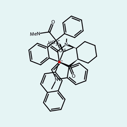 CNC(=O)C(O)(c1ccccc1)c1ccccc1[N+](C(=O)[C@@H]1CCCC[C@@H]1N(C)C(=O)c1cn(C)c2ccccc12)(c1ccc2ccccc2c1)[C@H](C)C(=O)O